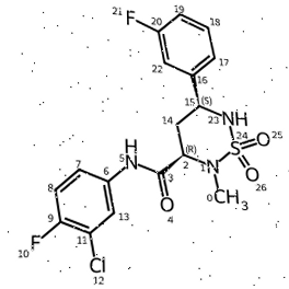 CN1[C@@H](C(=O)Nc2ccc(F)c(Cl)c2)C[C@@H](c2cccc(F)c2)NS1(=O)=O